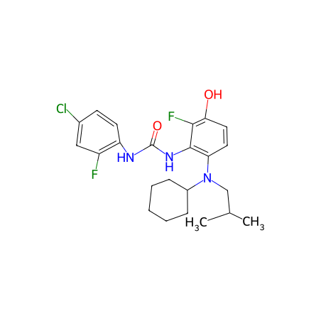 CC(C)CN(c1ccc(O)c(F)c1NC(=O)Nc1ccc(Cl)cc1F)C1CCCCC1